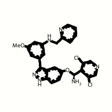 COc1cc(NCc2ccccn2)cc(-c2n[nH]c3ccc(O[C@H](N)c4c(Cl)cncc4Cl)cc23)c1